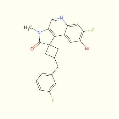 CN1C(=O)C2(CC(Cc3cccc(F)c3)C2)c2c1cnc1cc(F)c(Br)cc21